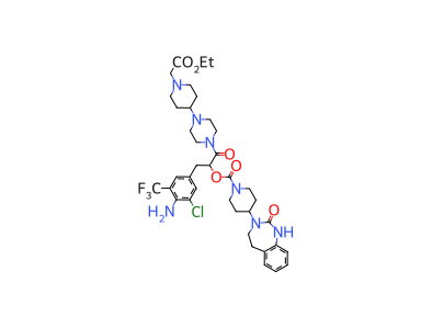 CCOC(=O)CN1CCC(N2CCN(C(=O)C(Cc3cc(Cl)c(N)c(C(F)(F)F)c3)OC(=O)N3CCC(N4CCc5ccccc5NC4=O)CC3)CC2)CC1